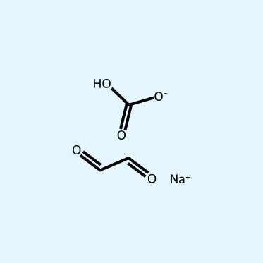 O=C([O-])O.O=CC=O.[Na+]